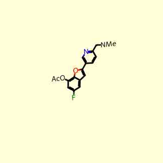 CNCc1ccc(-c2cc3cc(F)cc(OC(C)=O)c3o2)cn1